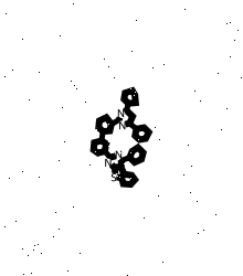 c1ccc(-c2cc(-c3ccccc3)nc(-c3cccc(-c4cccc(-c5nc(-c6ccccc6)c6c(n5)sc5ccccc56)c4)c3)n2)cc1